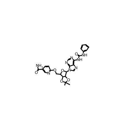 CC1(C)OC2C(COc3ccc(C(N)=O)cn3)OC(n3cnc4c(NC(=O)Nc5ccccc5)ncnc43)C2O1